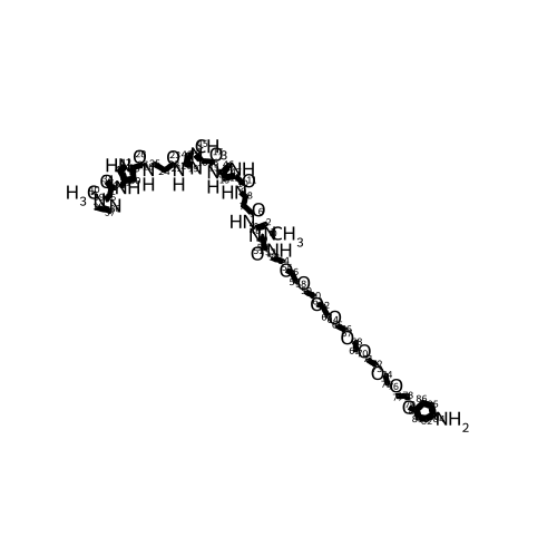 Cn1cc(NC(=O)CCNC(=O)c2cc(NC(=O)c3nc(NC(=O)CCNC(=O)c4cc(NC(=O)c5nccn5C)c[nH]4)cn3C)c[nH]2)nc1C(=O)NCCOCCOCCOCCOCCOCCOCCOCCOCCOc1ccc(N)cc1